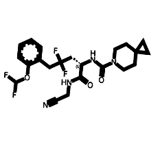 N#CCNC(=O)[C@H](CC(F)(F)Cc1ccccc1OC(F)F)NC(=O)N1CCC2(CC1)CC2